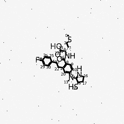 CSCC[C@H](NC(=O)c1ccc(N(C)[C@H]2NCC[C@H]2S)cc1CCc1ccc(F)cc1)C(=O)O